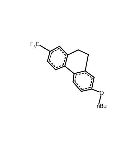 CCCCOc1ccc2c(c1)CCc1cc(C(F)(F)F)ccc1-2